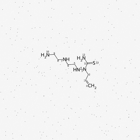 C=CCN(NCCNCCN)C(N)=S